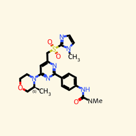 CNC(=O)Nc1ccc(-c2nc(CS(=O)(=O)c3nccn3C)cc(N3CCOC[C@@H]3C)n2)cc1